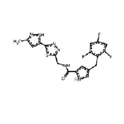 Cc1cc(-c2nnc(CNC(=O)c3cc(Cc4c(F)cc(F)cc4F)c[nH]3)s2)[nH]n1